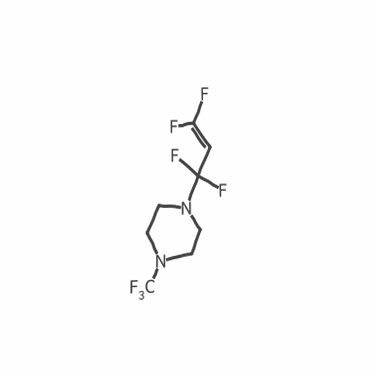 FC(F)=CC(F)(F)N1CCN(C(F)(F)F)CC1